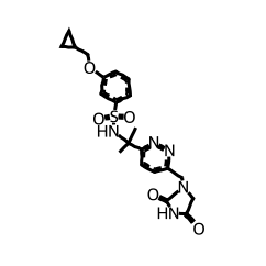 CC(C)(NS(=O)(=O)c1cccc(OCC2CC2)c1)c1ccc(CN2CC(=O)NC2=O)nn1